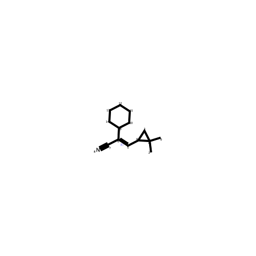 CC1(C)CC1/C=C(/C#N)C1CCCCC1